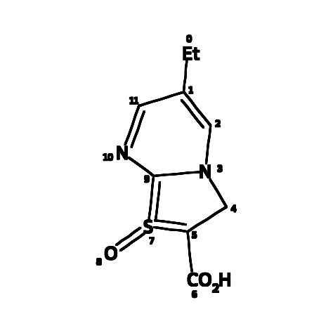 CCC1=CN2CC(C(=O)O)=S(=O)=C2N=C1